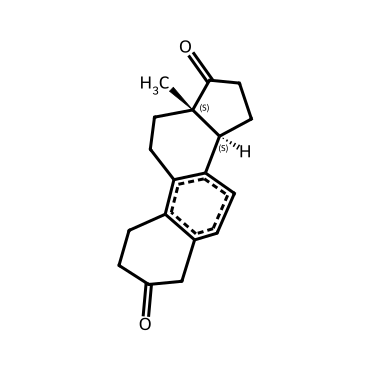 C[C@]12CCc3c(ccc4c3CCC(=O)C4)[C@@H]1CCC2=O